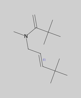 C=C(N(C)C/C=C/C(C)(C)C)C(C)(C)C